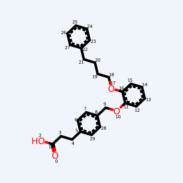 O=C(O)CCc1ccc(COc2ccccc2OCCCCc2ccccc2)cc1